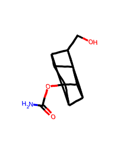 NC(=O)OC12C3C4C1C1C2C3C41CO